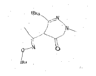 CC(=NOC(C)(C)C)C1C(=O)N(C)N=C1C(C)(C)C